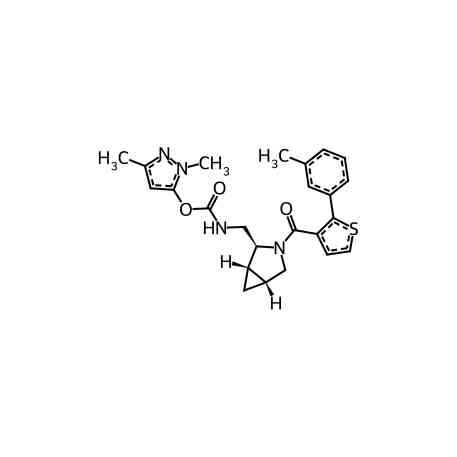 Cc1cccc(-c2sccc2C(=O)N2C[C@@H]3C[C@@H]3[C@H]2CNC(=O)Oc2cc(C)nn2C)c1